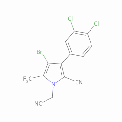 N#CCn1c(C#N)c(-c2ccc(Cl)c(Cl)c2)c(Br)c1C(F)(F)F